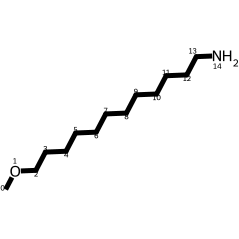 COCCCCCCCCCCCCN